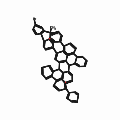 CC1(C)c2cc(Br)ccc2-c2ccc(-c3ccc4c(c3)C(c3ccccc3-c3ccc(-c5ccccc5)cc3)c3ccccc3C4c3ccccc3-c3ccc(-c4ccccc4)cc3)cc21